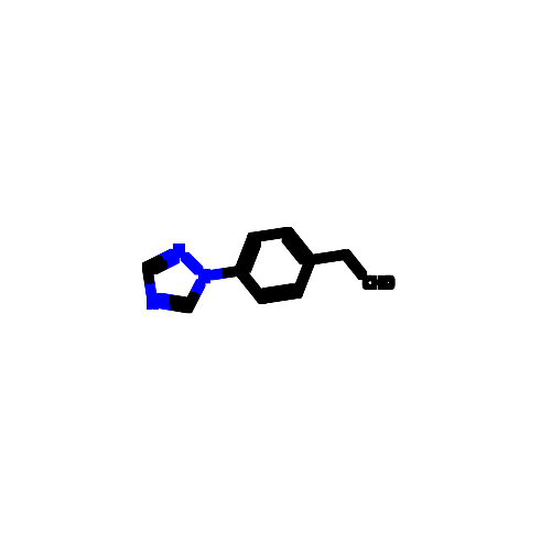 O=CCc1ccc(-n2cncn2)cc1